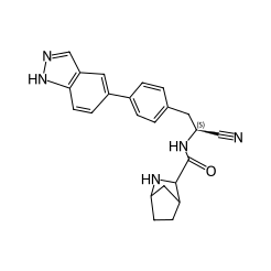 N#C[C@H](Cc1ccc(-c2ccc3[nH]ncc3c2)cc1)NC(=O)C1NC2CCC1C2